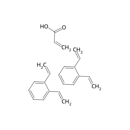 C=CC(=O)O.C=Cc1ccccc1C=C.C=Cc1ccccc1C=C